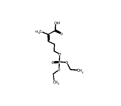 CCOP(=O)(OCC)OCCC=C(C)C(=O)O